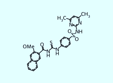 COc1cc2ccccc2cc1C(=O)NC(=S)Nc1ccc(S(=O)(=O)Nc2nc(C)cc(C)n2)cc1